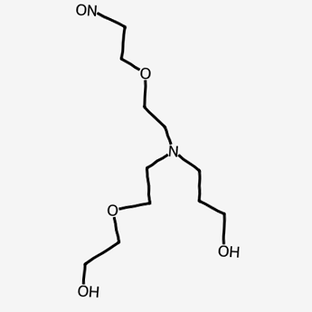 O=NCCOCCN(CCCO)CCOCCO